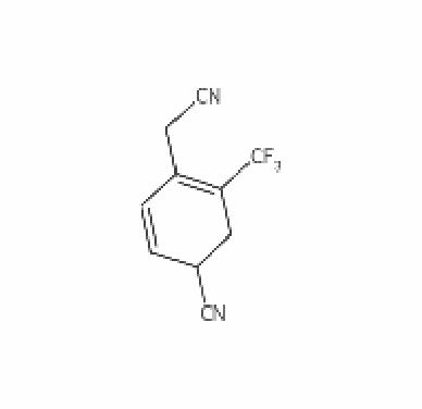 N#CCC1=C(C(F)(F)F)CC(C#N)C=C1